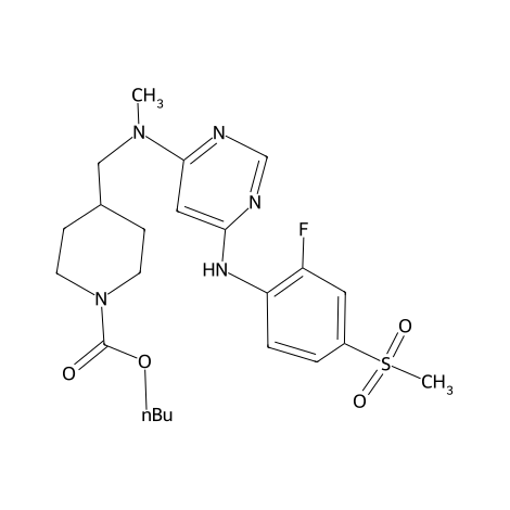 CCCCOC(=O)N1CCC(CN(C)c2cc(Nc3ccc(S(C)(=O)=O)cc3F)ncn2)CC1